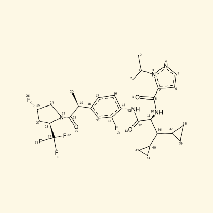 CC(C)n1nccc1C(=O)N[C@H](C(=O)Nc1ccc([C@H](C)C(=O)N2C[C@@H](F)C[C@@H]2C(F)(F)F)cc1F)C(C1CC1)C1CC1